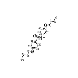 CCCCOc1ccc(NC(=O)c2ccc(OCCCC)cc2)cc1